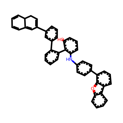 Oc1cccc(Nc2ccc(-c3cccc4c3oc3ccccc34)cc2)c1-c1ccccc1-c1cccc(C2=CCC3C=CC=CC3=C2)c1